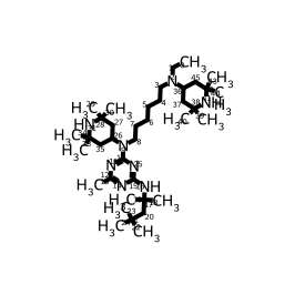 CCN(CCCCCCN(c1nc(C)nc(NC(C)(C)CC(C)(C)C)n1)C1CC(C)(C)NC(C)(C)C1)C1CC(C)(C)NC(C)(C)C1